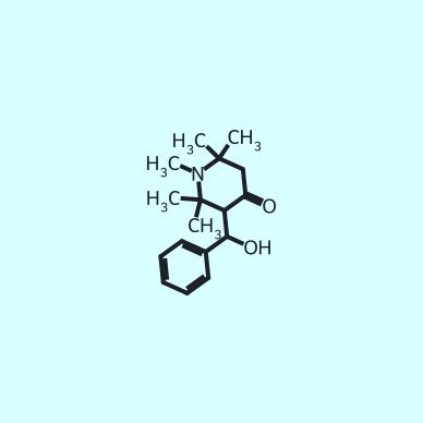 CN1C(C)(C)CC(=O)C(C(O)c2ccccc2)C1(C)C